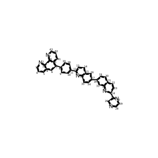 c1cnc2c(c1)cc(-c1ccc(-c3ccc4cc(-c5ccc6ccc(-c7cnccn7)nc6c5)ccc4n3)cc1)c1cccnc12